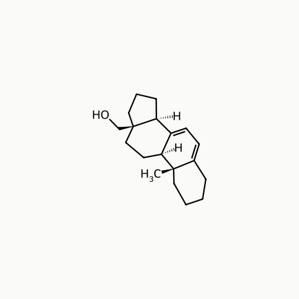 C[C@]12CCCCC1=CC=C1[C@@H]3CCC[C@@]3(CO)CC[C@@H]12